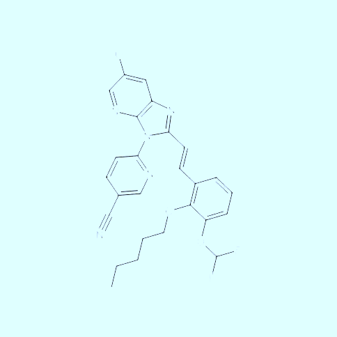 CCCCCOc1c(/C=C/c2nc3cc(Cl)cnc3n2-c2ccc(C#N)cn2)cccc1OC(F)F